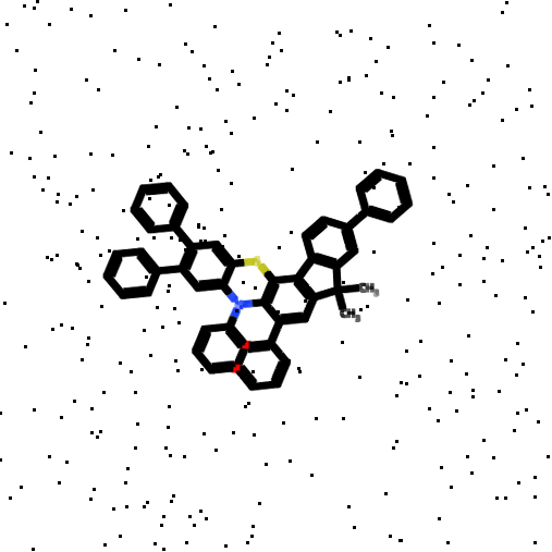 CC1(C)c2cc(-c3ccccc3)ccc2-c2c1cc(-c1ccccc1)c1c2Sc2cc(-c3ccccc3)c(-c3ccccc3)cc2N1c1ccccc1